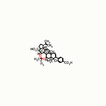 C=C(C)[C@@H]1CC[C@]2(C(=O)O)C[C@@H]3OC(C)(C)O[C@H]4C[C@H]5C(C)(C)C(c6ccc(C(=O)O)cc6)=CCC5(C)C5CC[C@H]([C@@H]12)[C@]3(C)[C@@]54C